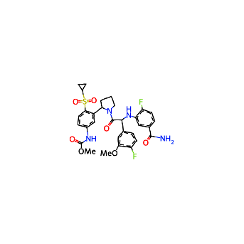 COC(=O)Nc1ccc(S(=O)(=O)C2CC2)c(C2CCCN2C(=O)C(Nc2cc(C(N)=O)ccc2F)c2ccc(F)c(OC)c2)c1